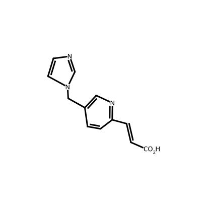 O=C(O)/C=C/c1ccc(Cn2ccnc2)cn1